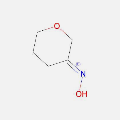 O/N=C1\CCCOC1